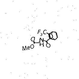 COC(=O)CNC(=O)C1=C(C(F)(F)F)C2C=CC1O2